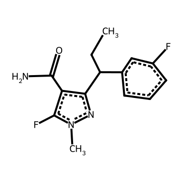 CCC(c1cccc(F)c1)c1nn(C)c(F)c1C(N)=O